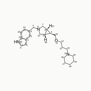 c1cc2cc(CN3C[C@@H]4[C@@H](COCCCN5CCCCC5)[C@@H]4C3)ccc2[nH]1